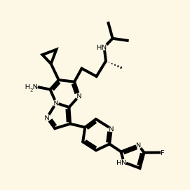 CC(C)N[C@H](C)CCc1nc2c(-c3ccc(-c4nc(F)c[nH]4)nc3)cnn2c(N)c1C1CC1